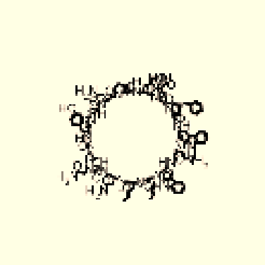 CCCC[C@H]1C(=O)N(C)[C@@H](CCCC)C(=O)N[C@@H](CCN)C(=O)N[C@H](C(=O)NCC(N)=O)CSCC(=O)N[C@@H](Cc2ccc(O)cc2)C(=O)N(C)[C@@H](C)C(=O)N[C@@H](CC(N)=O)C(=O)N2CCC[C@H]2C(=O)N[C@@H](Cc2c[nH]cn2)C(=O)N[C@@H](CCC(=O)O)C(=O)N2C[C@H](Cc3ccccc3)C[C@H]2C(=O)N[C@@H](Cc2c[nH]c3ccccc23)C(=O)N[C@@H](CCN)C(=O)N[C@@H](Cc2c[nH]c3ccccc23)C(=O)N1C